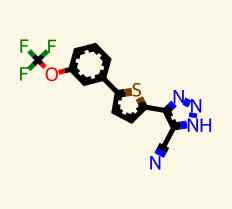 N#Cc1[nH]nnc1-c1ccc(-c2cccc(OC(F)(F)F)c2)s1